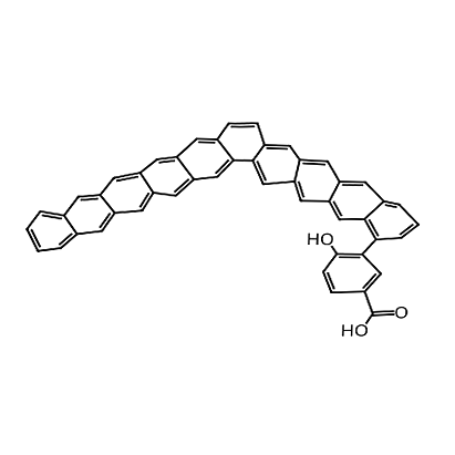 O=C(O)c1ccc(O)c(-c2cccc3cc4cc5cc6ccc7cc8cc9cc%10cc%11ccccc%11cc%10cc9cc8cc7c6cc5cc4cc23)c1